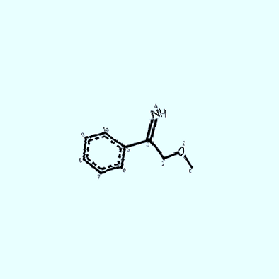 COCC(=N)c1ccccc1